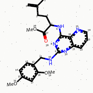 C=C(C)CCC(Nc1nc(NCc2ccc(OC)cc2OC)nc2cccnc12)C(=O)OC